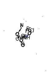 CN(C)CCC#Cc1cccc(C(=O)Nc2ccc(N3CCCCC3)cc2C(=O)N/N=C/c2ccc(Cl)c(C(F)(F)F)c2)c1